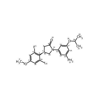 COc1cc(F)c([C@H]2CC(=O)N(c3cc(P)cc(OC(C)C)c3)C2)c(I)c1